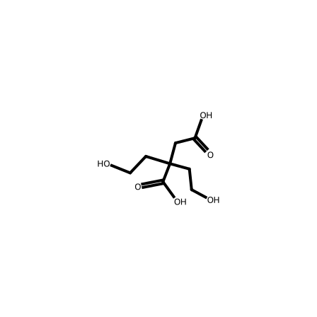 O=C(O)CC(CCO)(CCO)C(=O)O